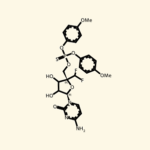 COc1ccc(OP(=S)(OC[C@@]2(C(F)F)O[C@@H](n3ccc(N)nc3=O)C(O)C2O)Oc2ccc(OC)cc2)cc1